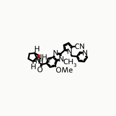 COc1cc(C(=O)N2C[C@H]3CC[C@@H]2[C@@H]3N)cc2nc(-c3ccc(C#N)n3Cc3cccnc3)n(C)c12